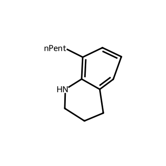 CCCCCc1cccc2c1NCCC2